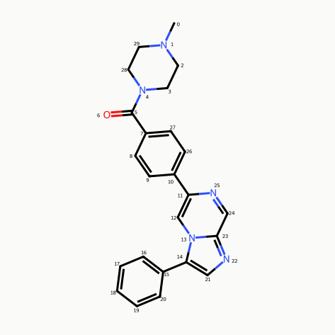 CN1CCN(C(=O)c2ccc(-c3cn4c(-c5ccccc5)cnc4cn3)cc2)CC1